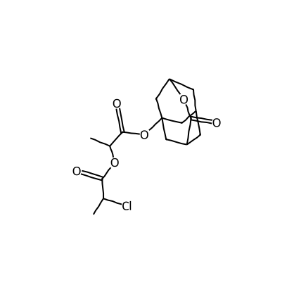 CC(Cl)C(=O)OC(C)C(=O)OC12CC3CC(C1)OC(=O)C(C3)C2